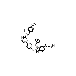 N#Cc1ccc(COc2nccc(C3=CCN(Cc4nc5ccc(C(=O)O)cc5n4CC4CCO4)CC3)n2)c(F)c1